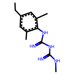 CCc1cc(C)c(NC(=N)NC(=N)NC)c(C)c1